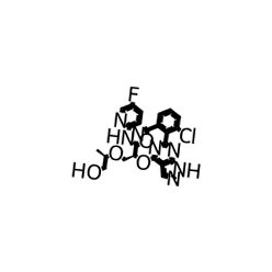 C[C@H](CO)OC[C@H](Oc1nc(-c2c(Cl)cccc2C#N)nc2[nH]ncc12)C(=O)Nc1ccc(F)cn1